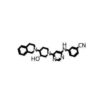 N#Cc1cccc(Nc2cc(N3CCC(N4CCc5ccccc5C4)[C@@H](O)C3)ncn2)c1